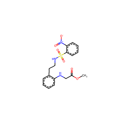 COC(=O)CNc1ccccc1CCNS(=O)(=O)c1ccccc1[N+](=O)[O-]